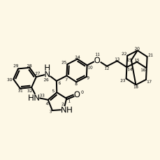 O=C1NCC2=C1C(c1ccc(OCCC34CC5CC(CC(C5)C3)C4)cc1)Nc1ccccc1N2